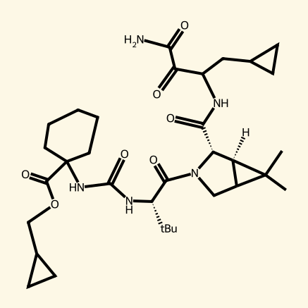 CC(C)(C)[C@H](NC(=O)NC1(C(=O)OCC2CC2)CCCCC1)C(=O)N1CC2[C@@H]([C@H]1C(=O)NC(CC1CC1)C(=O)C(N)=O)C2(C)C